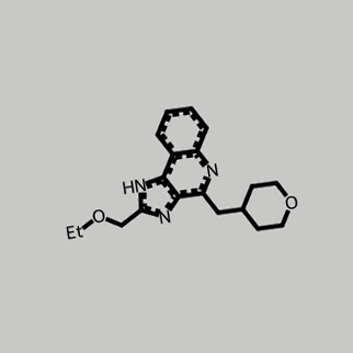 CCOCc1nc2c(CC3CCOCC3)nc3ccccc3c2[nH]1